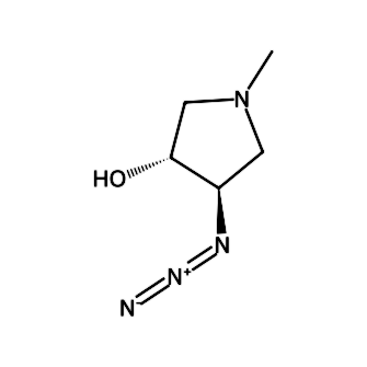 CN1C[C@@H](O)[C@H](N=[N+]=[N-])C1